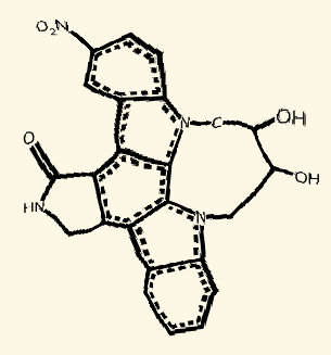 O=C1NCc2c1c1c3cc([N+](=O)[O-])ccc3n3c1c1c2c2ccccc2n1CC(O)C(O)C3